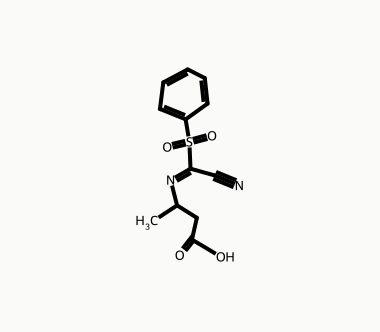 CC(CC(=O)O)N=C(C#N)S(=O)(=O)c1ccccc1